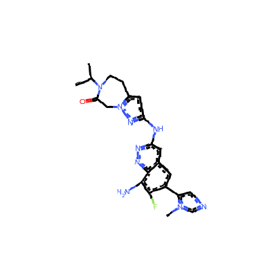 CC(C)N1CCc2cc(Nc3cc4cc(-c5cncn5C)c(F)c(N)c4nn3)nn2CC1=O